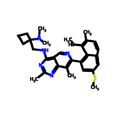 CBc1c(C)ccc2cc(SC)cc(-c3ncc4c(NCC5(N(C)C)CCC5)nc(C)nc4c3C)c12